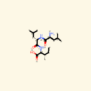 CC[C@H](C)[C@H](NC(=O)[C@H](CC(C)C)NC(=O)[C@@H](N)CC(C)C)C(=O)O